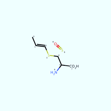 CC=CSCC(N)C(=O)O.O=S